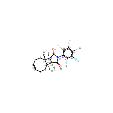 O=C1[C@@H]2[C@H]3CC/C=C\CC[C@@H]3[C@@H]2C(=O)N1c1c(F)c(F)c(F)c(F)c1F